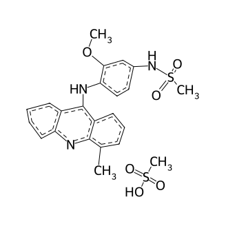 COc1cc(NS(C)(=O)=O)ccc1Nc1c2ccccc2nc2c(C)cccc12.CS(=O)(=O)O